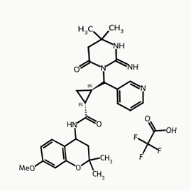 COc1ccc2c(c1)OC(C)(C)CC2NC(=O)[C@@H]1C[C@H]1C(c1cccnc1)N1C(=N)NC(C)(C)CC1=O.O=C(O)C(F)(F)F